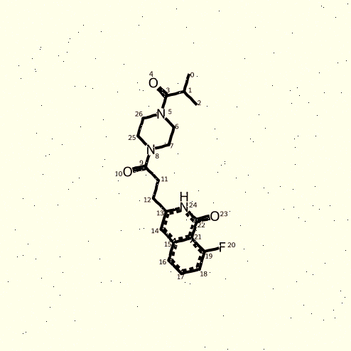 CC(C)C(=O)N1CCN(C(=O)CCc2cc3cccc(F)c3c(=O)[nH]2)CC1